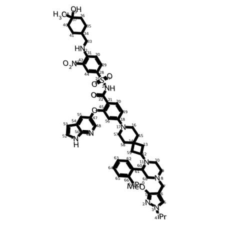 COc1nn(C(C)C)cc1CN1CCN(C2CC3(CCN(c4ccc(C(=O)NS(=O)(=O)c5ccc(NCC6CCC(C)(O)CC6)c([N+](=O)[O-])c5)c(Oc5cnc6[nH]ccc6c5)c4)CC3)C2)C(c2ccccc2C(C)C)C1